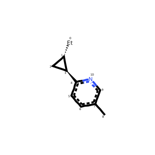 CC[C@H]1C[C@@H]1c1ccc(C)cn1